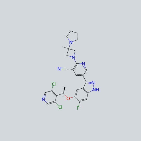 C[C@@H](Oc1cc2c(-c3cnc(N4CC(C)(N5CCCC5)C4)c(C#N)c3)n[nH]c2cc1F)c1c(Cl)cncc1Cl